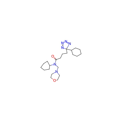 O=C(CCCC1(C2CCCCC2)N=NN=N1)N(CN1CCOCC1)C1CCCCC1